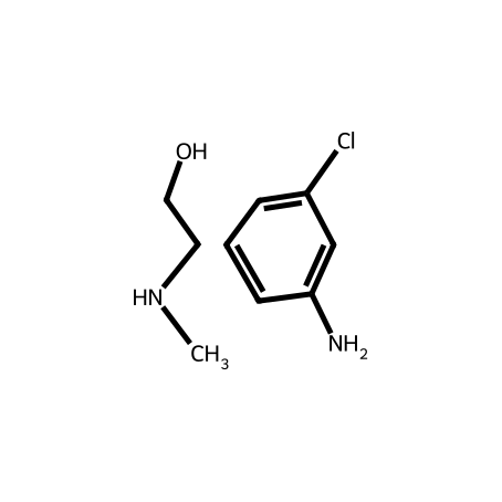 CNCCO.Nc1cccc(Cl)c1